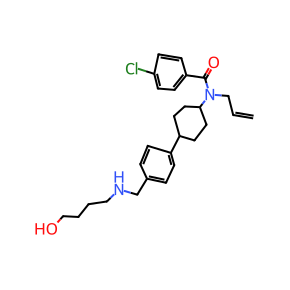 C=CCN(C(=O)c1ccc(Cl)cc1)C1CCC(c2ccc(CNCCCCO)cc2)CC1